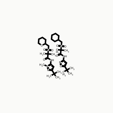 CC(C)(C)c1cc(NC(=O)C(C)(C)S(=O)(=O)CC2CCCCC2)no1.Cn1nc(C(C)(C)C)cc1NC(=O)C(C)(C)S(=O)(=O)CC1CCCCO1